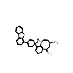 C=C1CC(C)/C=C\SC2=C1CCC=C2C1(C)C=CC(c2cccc3c2SC2C=CC=CC32)=CC1